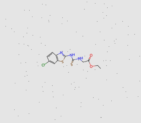 CCOC(=O)CNC(=S)Nc1nc2ccc(Cl)cc2s1